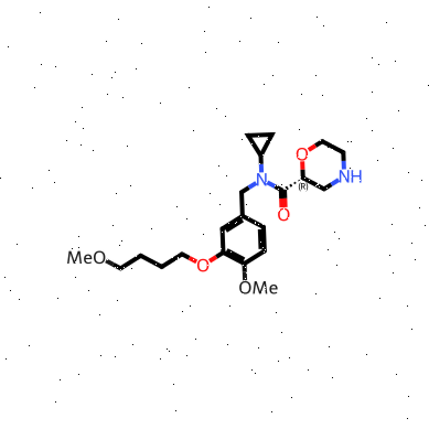 COCCCCOc1cc(CN(C(=O)[C@H]2CNCCO2)C2CC2)ccc1OC